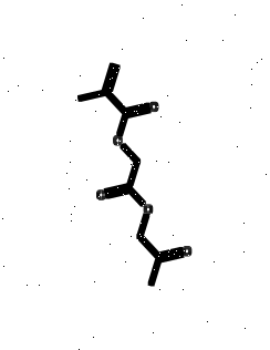 C=C(C)C(=O)OCC(=O)OCC(C)=O